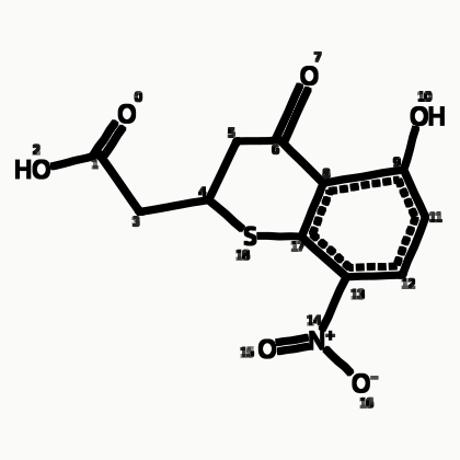 O=C(O)CC1CC(=O)c2c(O)ccc([N+](=O)[O-])c2S1